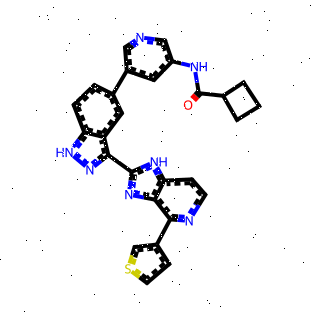 O=C(Nc1cncc(-c2ccc3[nH]nc(-c4nc5c(-c6ccsc6)nccc5[nH]4)c3c2)c1)C1CCC1